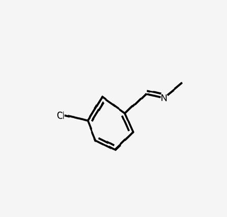 C/N=C/c1cccc(Cl)c1